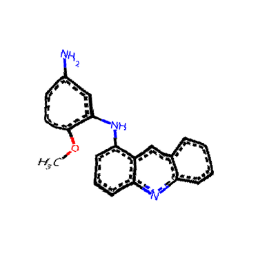 COc1ccc(N)cc1Nc1cccc2nc3ccccc3cc12